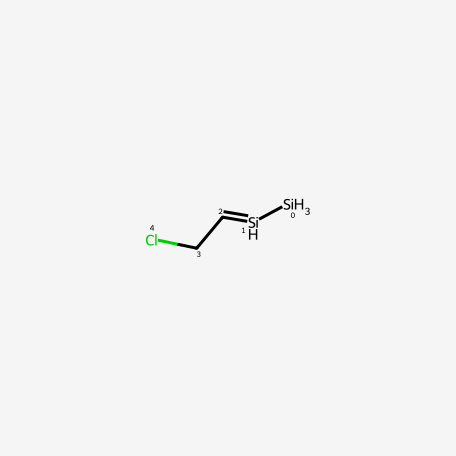 [SiH3][SiH]=CCCl